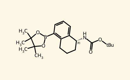 CC(C)(C)OC(=O)N[C@@H]1CCCc2c(B3OC(C)(C)C(C)(C)O3)cccc21